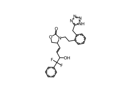 O=C1OCC(/C=C/C(O)C(F)(F)c2ccccc2)N1CCc1ccccc1Cc1nnn[nH]1